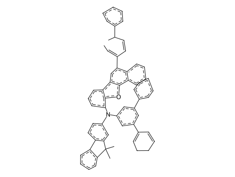 C/C=C(\C=C/C(C)c1ccccc1)c1cc2c3cccc(N(c4cc(C5=CCCC=C5)cc(-c5ccccc5)c4)c4ccc5c(c4)C(C)(C)c4ccccc4-5)c3oc2c2ccccc12